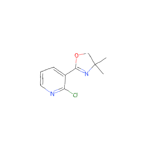 CC1(C)COC(c2cccnc2Cl)=N1